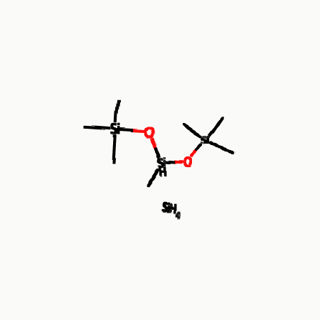 C[SiH](O[Si](C)(C)C)O[Si](C)(C)C.[SiH4]